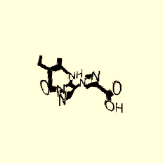 CCc1c(C)[nH]c2c(-n3cnc(C(=O)O)c3)cnn2c1=O